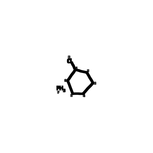 ClC1CCCCC1.P